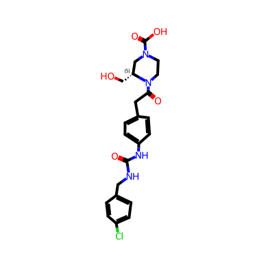 O=C(NCc1ccc(Cl)cc1)Nc1ccc(CC(=O)N2CCN(C(=O)O)C[C@H]2CO)cc1